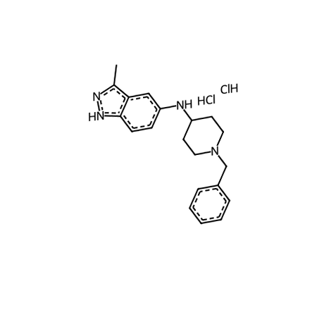 Cc1n[nH]c2ccc(NC3CCN(Cc4ccccc4)CC3)cc12.Cl.Cl